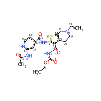 CCOC(=O)NC(=O)c1c(NC(=O)c2ccnc(NC(C)=O)c2)sc2c1CCN(CC)C2